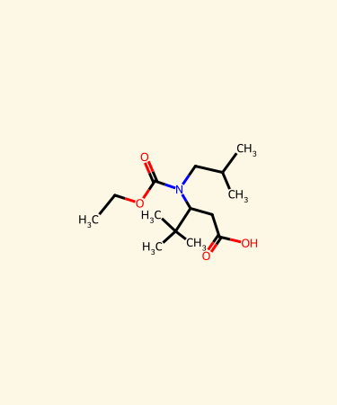 CCOC(=O)N(CC(C)C)C(CC(=O)O)C(C)(C)C